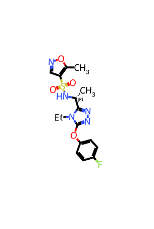 CCn1c(Oc2ccc(F)cc2)nnc1[C@@H](C)NS(=O)(=O)c1cnoc1C